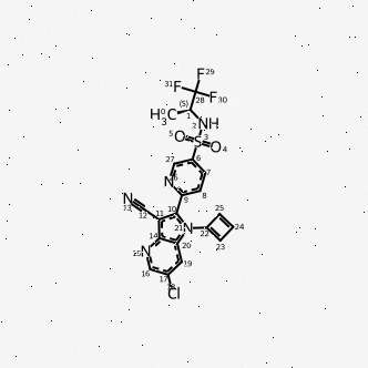 C[C@H](NS(=O)(=O)c1ccc(-c2c(C#N)c3ncc(Cl)cc3n2C2=CC=C2)nc1)C(F)(F)F